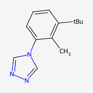 Cc1c(-n2cnnc2)cccc1C(C)(C)C